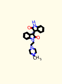 CN1CCN(CCN2C(=O)/C(=C3/C(=O)Nc4ccccc43)c3ccccc32)CC1